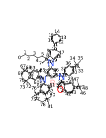 CCCCCC[C@]1(C)C2=CC(c3ccccc3)CC=C2N1c1cc2c3c(c1)N(c1ccc(C(C)(C)C)cc1)c1c(oc4c#cc(C(C)(C)C)cc14)B3c1cc3c(cc1N2c1cc2c(cc1C)C(C)(C)CCC2(C)C)C(C)(C)CCC3(C)C